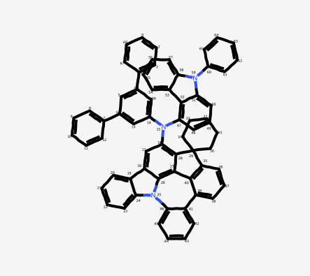 c1ccc(-c2cc(-c3ccccc3)cc(N(c3cc4c5ccccc5n5c4c4c3C3(CCCCC3)c3cccc(c3-4)-c3ccccc3-5)c3cccc4c3c3ccccc3n4-c3ccccc3)c2)cc1